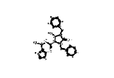 CC(NC(=O)[C@H]1[C@@H](O)N(Cc2ccccc2)C(=O)N1Cc1ccccc1)c1cccs1